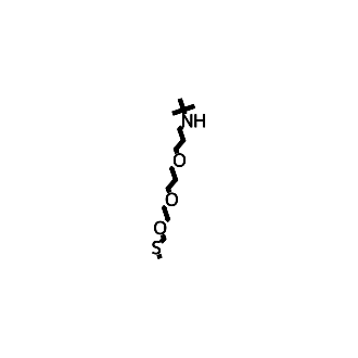 CSCOCCOCCCOCCCNC(C)(C)C